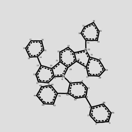 c1ccc(-c2ccc(-n3c4cccc(-c5ccccc5)c4c4ccc5c(c6ccccc6n5-c5ccccc5)c43)c(-c3ccccc3)c2)cc1